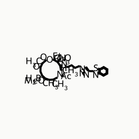 B[C@@H]1CC(=O)[C@@H](C)C(=O)O[C@H](CC)[C@@]2(C)OC(=O)N(CCCCn3cc(-c4nc5ccccc5s4)nn3)[C@@H]2[C@@H](C)N(C(C)=O)C[C@H](C)C[C@@]1(C)OC